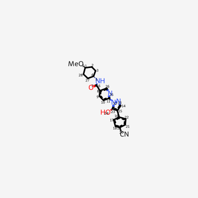 CO[C@H]1CC[C@H](NC(=O)c2ccc(-n3ncc(-c4ccc(C#N)cc4)c3O)nc2)CC1